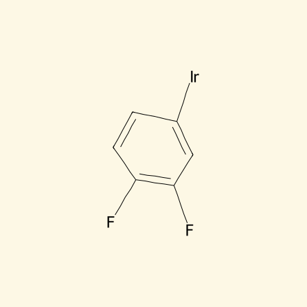 Fc1cc[c]([Ir])cc1F